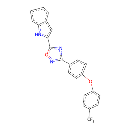 FC(F)(F)c1ccc(Oc2ccc(-c3noc(-c4cc5ccccc5[nH]4)n3)cc2)cc1